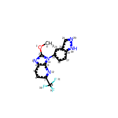 COc1nc2ccc(C(F)(F)F)nc2n1-c1ccc2[nH]ncc2c1